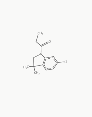 CCC(=O)N1CC(C)(C)c2ccc(Cl)cc21